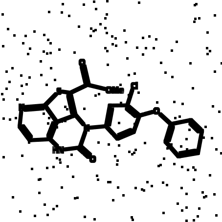 COC(=O)c1sc2nccc3c2c1N(c1ccc(Oc2ccccc2)c(Cl)c1)C(=O)N3